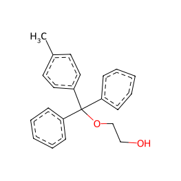 Cc1ccc(C(OCCO)(c2ccccc2)c2ccccc2)cc1